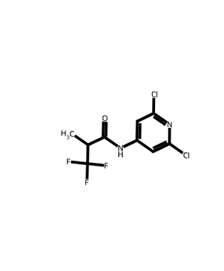 CC(C(=O)Nc1cc(Cl)nc(Cl)c1)C(F)(F)F